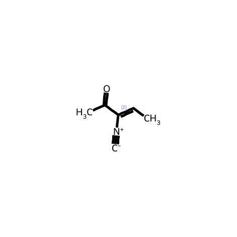 [C-]#[N+]/C(=C\C)C(C)=O